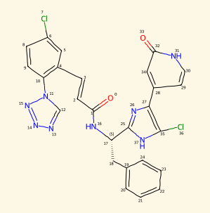 O=C(C=Cc1cc(Cl)ccc1-n1cnnn1)N[C@@H](Cc1ccccc1)c1nc(-c2cc[nH]c(=O)c2)c(Cl)[nH]1